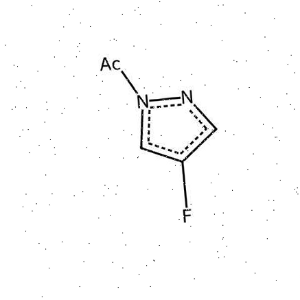 CC(=O)n1cc(F)cn1